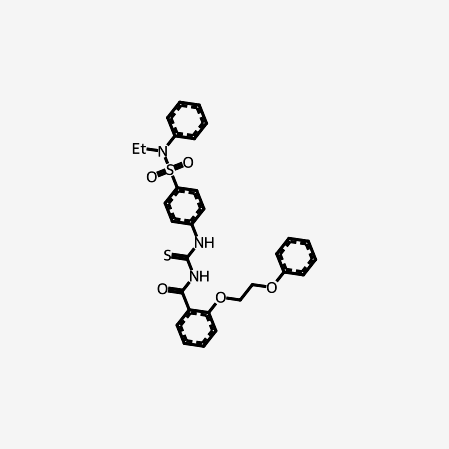 CCN(c1ccccc1)S(=O)(=O)c1ccc(NC(=S)NC(=O)c2ccccc2OCCOc2ccccc2)cc1